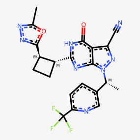 Cc1nnc([C@@H]2CC[C@H]2c2nc3c(c(C#N)nn3[C@H](C)c3ccc(C(F)(F)F)nc3)c(=O)[nH]2)o1